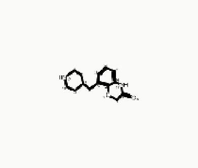 O=C1COc2c(CC3CCNCC3)cccc2N1